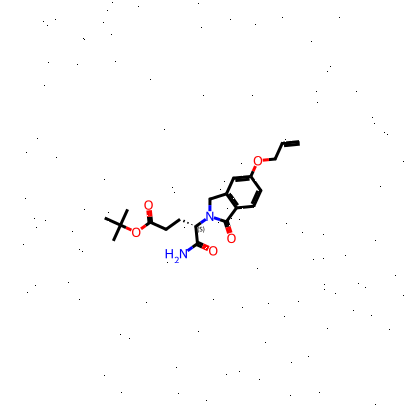 C=CCOc1ccc2c(c1)CN([C@@H](CCC(=O)OC(C)(C)C)C(N)=O)C2=O